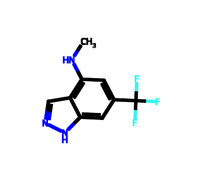 CNc1cc(C(F)(F)F)cc2[nH]ncc12